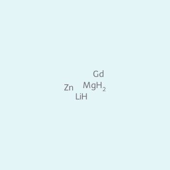 [Gd].[LiH].[MgH2].[Zn]